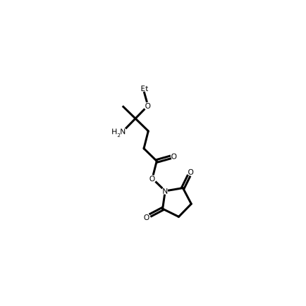 CCOC(C)(N)CCC(=O)ON1C(=O)CCC1=O